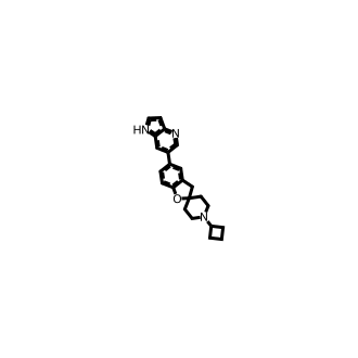 c1cc2ncc(-c3ccc4c(c3)CC3(CCN(C5CCC5)CC3)O4)cc2[nH]1